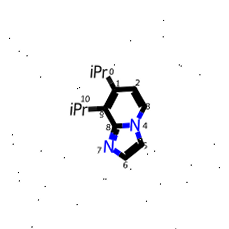 CC(C)c1ccn2ccnc2c1C(C)C